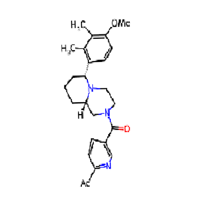 COc1ccc([C@H]2CCC[C@H]3CN(C(=O)c4ccc(C(C)=O)nc4)CCN32)c(C)c1C